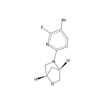 CC(C)c1ccc(N2C[C@@H]3C[C@H]2CO3)nc1F